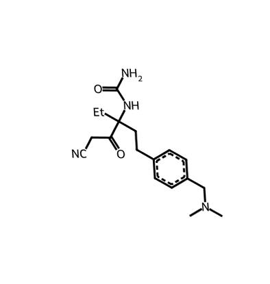 CCC(CCc1ccc(CN(C)C)cc1)(NC(N)=O)C(=O)CC#N